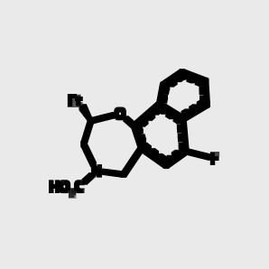 CC[C@@H]1CN(C(=O)O)Cc2cc(F)c3ccccc3c2O1